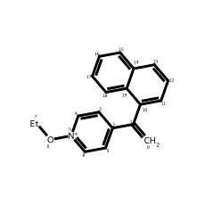 C=C(c1cc[n+](OCC)cc1)c1cccc2ccccc12